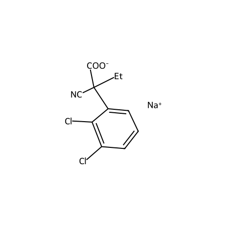 CCC(C#N)(C(=O)[O-])c1cccc(Cl)c1Cl.[Na+]